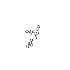 c1cc(-c2cccc(N(Cc3ccccc3-c3cccc4c3oc3ccccc34)c3cccc(-c4ccc5ccccc5c4)c3)c2)cc(-c2cccc3c2sc2ccccc23)c1